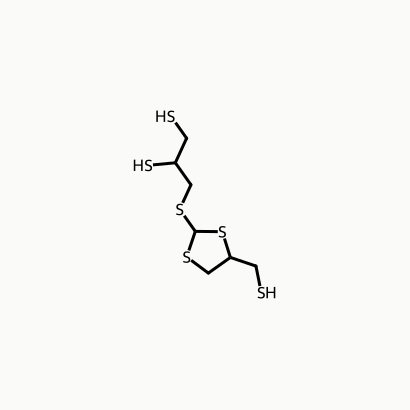 SCC(S)CSC1SCC(CS)S1